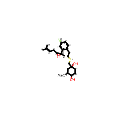 COC1CC(O)(CSCCc2ccc(F)cc2C2(C)OC2CC=C(C)C)CCC1O